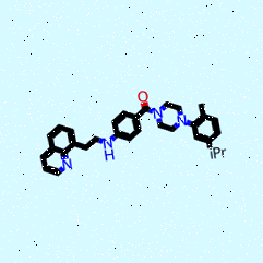 Cc1ccc(C(C)C)cc1N1CCN(C(=O)c2ccc(NCCc3cccc4cccnc34)cc2)CC1